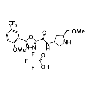 COC[C@@H]1C[C@@H](NC(=O)c2nnc(-c3cc(C(F)(F)F)ccc3OC)o2)CN1.O=C(O)C(F)(F)F